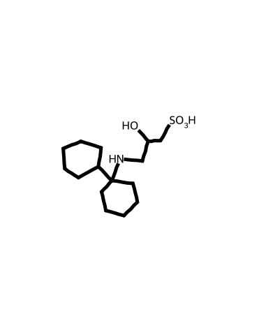 O=S(=O)(O)CC(O)CNC1(C2CCCCC2)CCCCC1